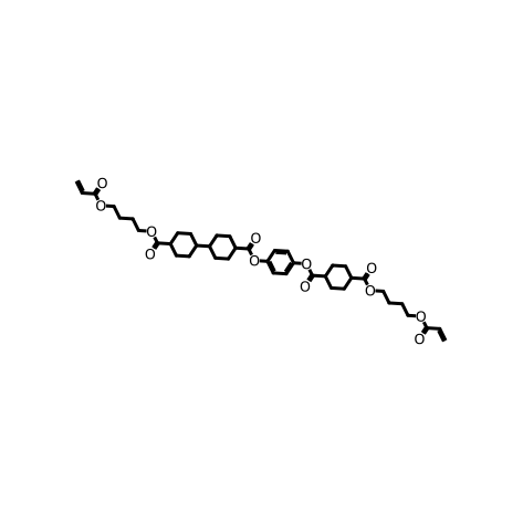 C=CC(=O)OCCCCOC(=O)C1CCC(C(=O)Oc2ccc(OC(=O)C3CCC(C4CCC(C(=O)OCCCCOC(=O)C=C)CC4)CC3)cc2)CC1